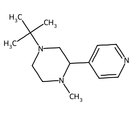 CN1CCN(C(C)(C)C)CC1c1ccncc1